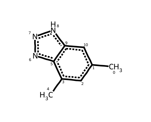 Cc1cc(C)c2nn[nH]c2c1